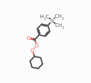 C[Si](C)(C)c1ccc(C(=O)OO[C]2CCCCC2)cc1